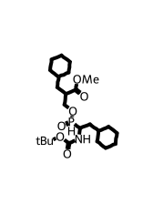 COC(=O)C(CO[PH](=O)C(CC1CCCCC1)NC(=O)OC(C)(C)C)CC1CCCCC1